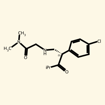 CC(C)C(=O)[C@H](CNCC(=O)N(C)C)c1ccc(Cl)cc1